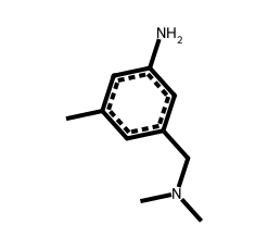 Cc1cc(N)cc(CN(C)C)c1